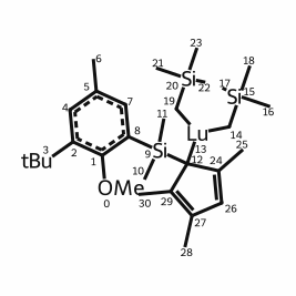 COc1c(C(C)(C)C)cc(C)cc1[Si](C)(C)[C]1([Lu]([CH2][Si](C)(C)C)[CH2][Si](C)(C)C)C(C)=CC(C)=C1C